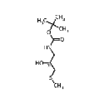 CSC[C@@H](O)CNC(=O)OC(C)(C)C